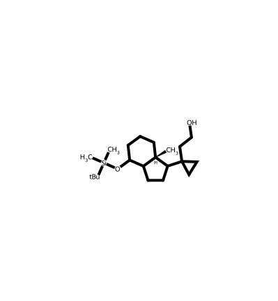 CC(C)(C)[Si](C)(C)OC1CCC[C@@]2(C)C1CCC2C1(CCO)CC1